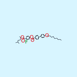 CCCCCCCCCOc1ccc(-c2ccc(C(=O)Oc3ccc(C(=O)O[C@H](C)CCC(C)C)c(F)c3)cc2)cc1